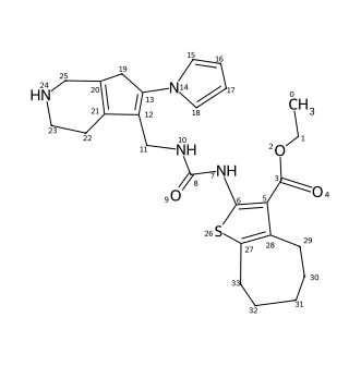 CCOC(=O)c1c(NC(=O)NCC2=C(n3cccc3)CC3=C2CCNC3)sc2c1CCCCC2